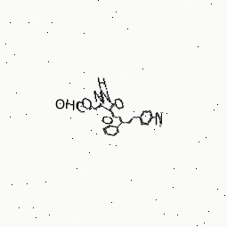 CN(C)c1ccc(/C=C/C2=CC(=C3\C(=O)NN=C3COC=O)/Oc3ccccc32)cc1